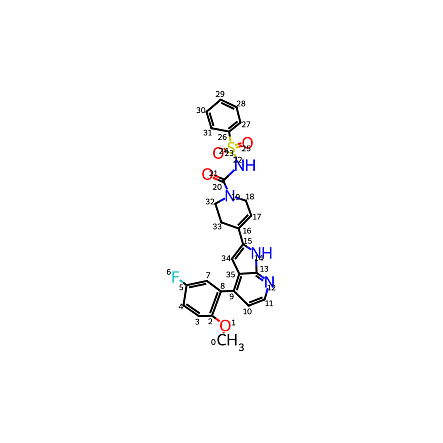 COc1ccc(F)cc1-c1ccnc2[nH]c(C3=CCN(C(=O)NS(=O)(=O)c4ccccc4)CC3)cc12